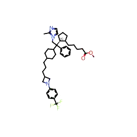 COC(=O)CCCCC1CCC[C@@H]1C(Cn1ccnc1C)(c1ccccc1)C1CCC(CCCC2CN(c3ccc(C(F)(F)F)cc3)C2)CC1